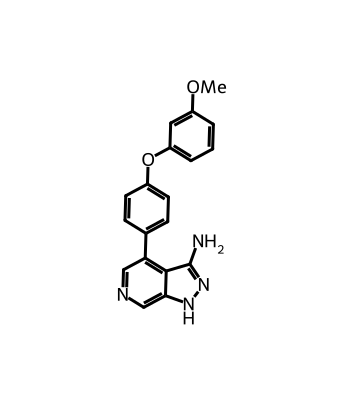 COc1cccc(Oc2ccc(-c3cncc4[nH]nc(N)c34)cc2)c1